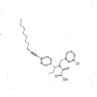 CCCCCCCCC#Cc1ccc(C(CC)N(Cc2cccc(Cl)c2)C(=O)C(=O)O)cc1